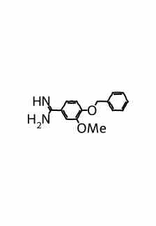 COc1cc(C(=N)N)ccc1OCc1ccccc1